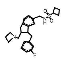 O=S(=O)(NCc1ccc2c(c1)C(Cc1cccc(F)c1)C(CN1CCC1)C2)C1CCC1